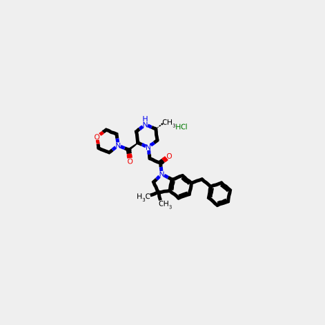 C[C@@H]1CN(CC(=O)N2CC(C)(C)c3ccc(Cc4ccccc4)cc32)[C@@H](C(=O)N2CCOCC2)CN1.Cl